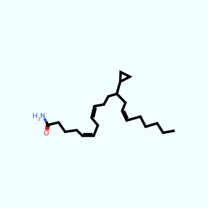 CCCCC/C=C\CC(CC/C=C\C/C=C\CCCC(N)=O)C1CC1